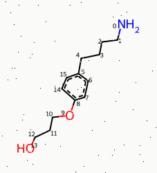 NCCCCc1ccc(OCCCO)cc1